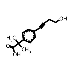 CC(C)(C(=O)O)c1ccc(C#CCCO)cc1